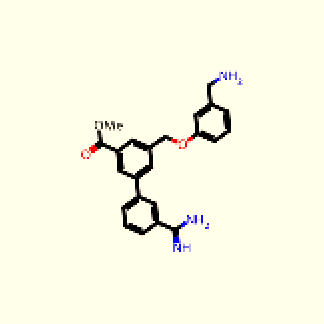 COC(=O)c1cc(COc2cccc(CN)c2)cc(-c2cccc(C(=N)N)c2)c1